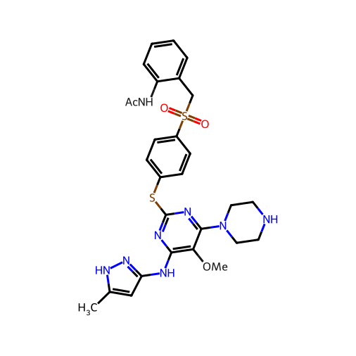 COc1c(Nc2cc(C)[nH]n2)nc(Sc2ccc(S(=O)(=O)Cc3ccccc3NC(C)=O)cc2)nc1N1CCNCC1